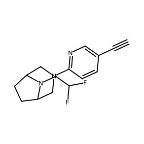 C#Cc1ccc(N2CC3CCC(C2)N3CC(F)F)nc1